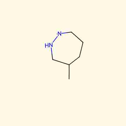 CC1CCC[N]NC1